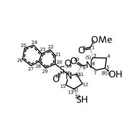 COC(=O)[C@@H]1C[C@@H](O)CN1C(=O)[C@@H]1C[C@H](S)CN1S(=O)(=O)c1ccc2ccccc2c1